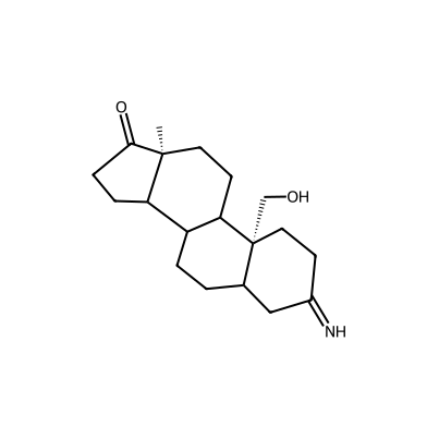 C[C@]12CCC3C(CCC4CC(=N)CC[C@@]43CO)C1CCC2=O